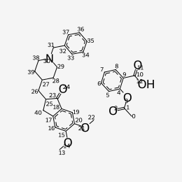 CC(=O)Oc1ccccc1C(=O)O.COc1cc2c(cc1OC)C(=O)C(CC1CCN(Cc3ccccc3)CC1)C2